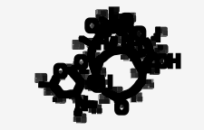 CCC(=O)/N=C1\[C@H](C)C[C@@]2(C)OCC(=O)CC[C@H]([C@H]1C)[C@](C)(O)[C@@H](I)OC(=O)[C@@](C)(F)C(=O)[C@H](C)[C@H]2O[C@@H]1O[C@H](C)C[C@H](N(C)C)[C@H]1O